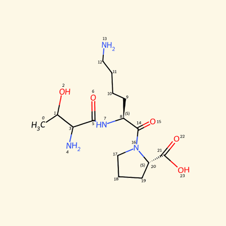 CC(O)C(N)C(=O)N[C@@H](CCCCN)C(=O)N1CCC[C@H]1C(=O)O